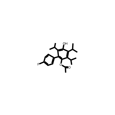 CC(=O)Oc1c(-c2ccc(F)cc2)c(C(C)C)c(O)c(C(C)C)c1C(C)C